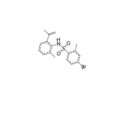 C=C(C)c1cccc(C)c1NS(=O)(=O)c1ccc(Br)cc1C